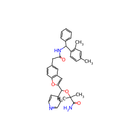 Cc1ccc(C(NC(=O)Cc2ccc3oc(C(OC(C)(C)C(N)=O)c4ccncc4)cc3c2)c2ccccc2)c(C)c1